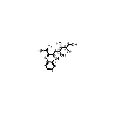 NC(=O)C1=Nc2ccccc2NC1C[C@H](O)[C@H](O)[C@H](O)CO